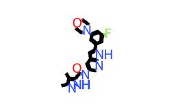 Cc1n[nH]c(C(=O)Nc2cnc3[nH]c(-c4cc(F)cc(N5CCOCC5)c4)cc3c2)c1C